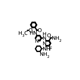 CCOc1ccccc1C(=O)Nc1cncc(Nc2nc(N[C@@H]3CCCC[C@@H]3N)c(F)cc2C(N)=O)c1